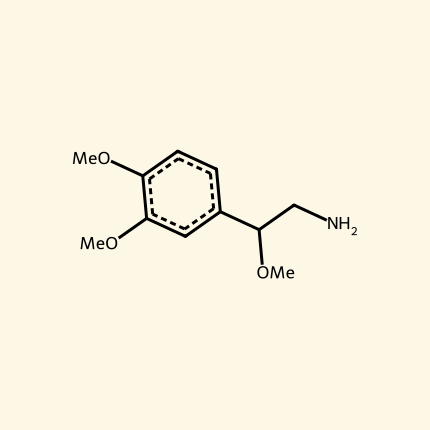 COc1ccc(C(CN)OC)cc1OC